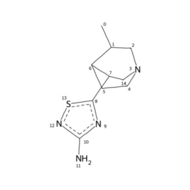 CC1CN2CCC1C(c1nc(N)ns1)C2